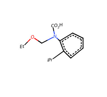 CCOCN(C(=O)O)c1ccccc1C(C)C